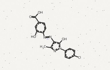 Cc1nn(-c2ccc(Cl)cc2)c(O)c1/N=N/c1ccc(C(=O)O)cc1O